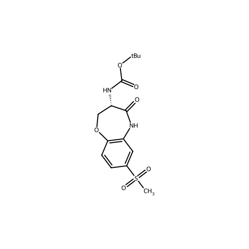 CC(C)(C)OC(=O)N[C@H]1COc2ccc(S(C)(=O)=O)cc2NC1=O